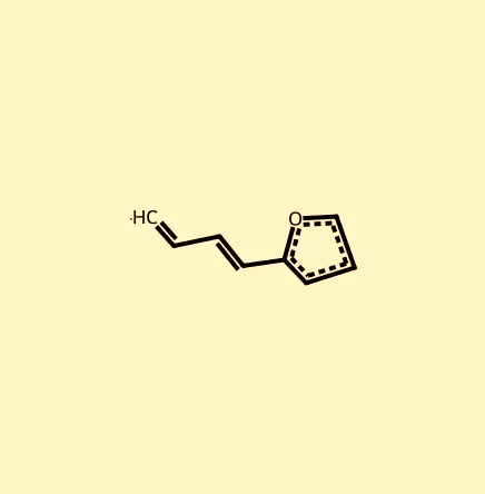 [CH]=CC=Cc1ccco1